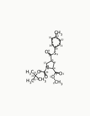 COC(=O)C1CC(C(=O)Sc2ccc(C)cc2)CN1C(=O)OC(C)(C)C